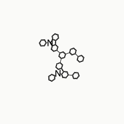 c1ccc(-c2cccc(-c3cc(-c4ccc5c(c4)c4ccccc4n5-c4ccccc4)cc(-c4ccc5c(c4)c4cc(-c6ccccc6)ccc4n5-c4ccccc4)c3)c2)cc1